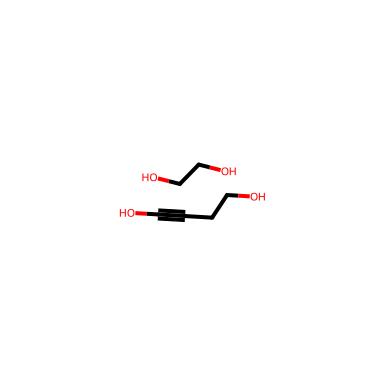 OC#CCCO.OCCO